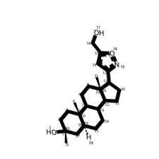 C[C@@]1(O)CC[C@]2(C)C3CC[C@]4(C)C(c5cc(CO)on5)CCC4C3CC[C@H]2C1